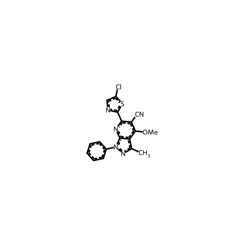 COc1c(C#N)c(-c2ncc(Cl)s2)nc2c1c(C)nn2-c1ccccc1